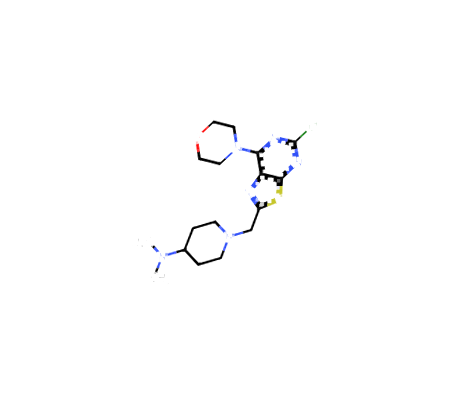 CN(C)C1CCN(Cc2nc3c(N4CCOCC4)nc(Cl)nc3s2)CC1